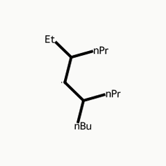 CCCCC([CH]C(CC)CCC)CCC